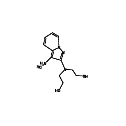 Cl.Nc1c(N(CCO)CCO)nn2ccccc12